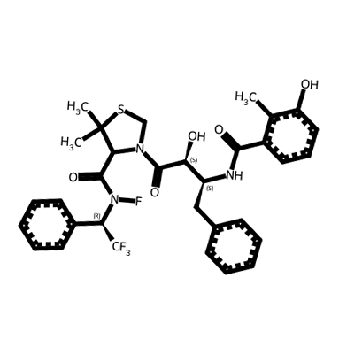 Cc1c(O)cccc1C(=O)N[C@@H](Cc1ccccc1)[C@H](O)C(=O)N1CSC(C)(C)C1C(=O)N(F)[C@H](c1ccccc1)C(F)(F)F